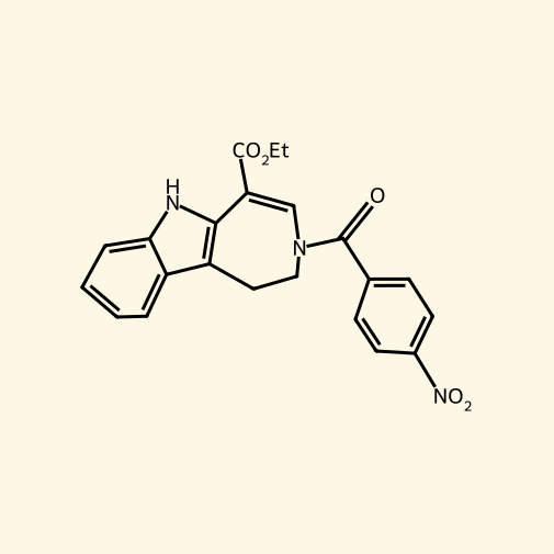 CCOC(=O)C1=CN(C(=O)c2ccc([N+](=O)[O-])cc2)CCc2c1[nH]c1ccccc21